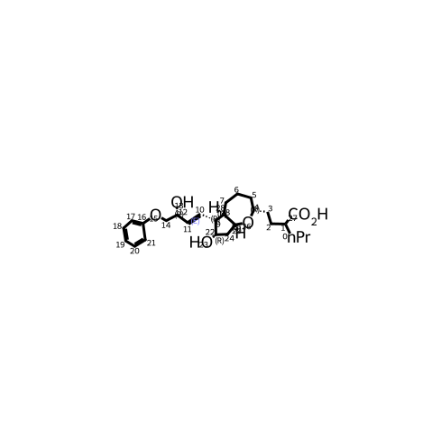 CCCC(CC[C@H]1CCC[C@@H]2[C@@H](/C=C/[C@@H](O)COc3ccccc3)[C@H](O)C[C@@H]2O1)C(=O)O